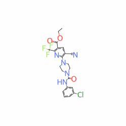 CCOC(=O)c1cc(C#N)c(N2CCN(C(=O)Nc3cccc(Cl)c3)CC2)nc1C(F)(F)F